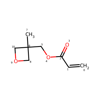 C=CC(=O)OCC1(C)COC1